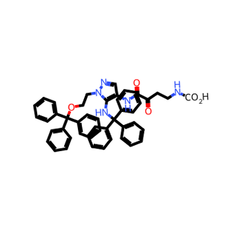 O=C(O)NCCC(=O)C(=O)Nc1cnn(CCOC(c2ccccc2)(c2ccccc2)c2ccccc2)c1NC(c1ccccc1)(c1ccccc1)c1ccccc1